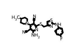 CC1CCN(c2c(C#N)c(N)nc(SCc3csc(Nc4ccc(F)cc4)n3)c2C#N)CC1